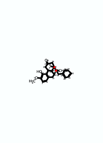 COc1ccc2c(c1O)[C@]13CCN(C)C(C2)[C@]1(OCc1ccccc1)CCC(=O)C3